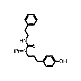 CC(C)N(CCCc1ccc(O)cc1)C(=S)NCCc1ccccc1